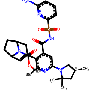 C[C@@H]1CN(c2cc(C(=O)NS(=O)(=O)c3cccc(N)n3)c(C3=CC4CCC(C3)N4C(=O)OC(C)(C)C)c(C(C)(C)C)n2)C(C)(C)C1